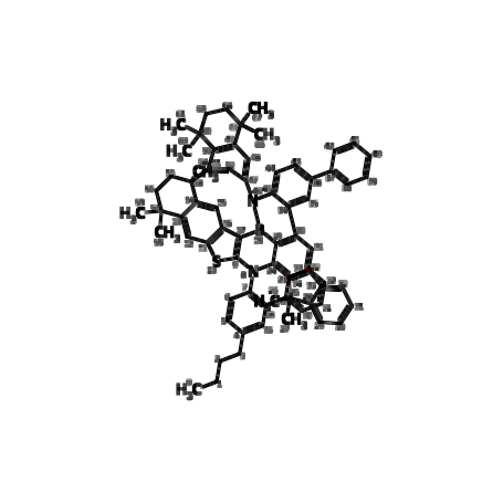 CCCCc1ccc(N2c3sc4cc5c6cc4c3B3c4c(cc7c(c42)C(C)(C)c2ccccc2-7)-c2cc(-c4ccccc4)ccc2N3c2cc3c(c(c2)C6(C)CCC5(C)C)C(C)(C)CCC3(C)C)c(-c2ccccc2)c1